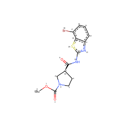 CC(C)(C)OC(=O)N1CC[C@H](C(=O)Nc2nc3cccc(Br)c3s2)C1